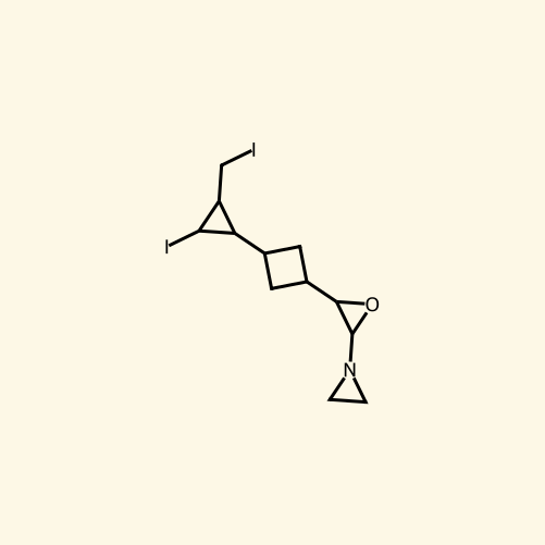 ICC1C(I)C1C1CC(C2OC2N2CC2)C1